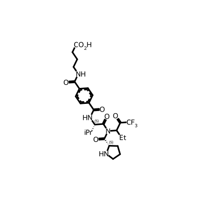 CCC(C(=O)C(F)(F)F)N(C(=O)[C@@H]1CCCN1)C(=O)[C@@H](NC(=O)c1ccc(C(=O)NCCCC(=O)O)cc1)C(C)C